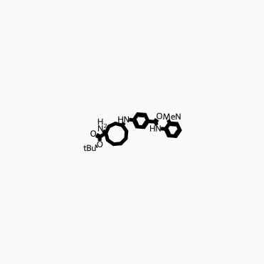 CNc1ccccc1NC(=O)c1ccc(NC2CCCCCC(N)(C(=O)OC(C)(C)C)CC2)cc1